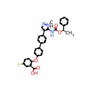 C[C@@H](OC(=O)Nc1c(-c2ccc(-c3ccc(Oc4ccc(F)cc4C(=O)O)cc3)cc2)cnn1C)c1ccccc1